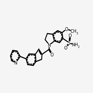 COc1cc2c(cc1S(N)(=O)=O)N(C(=O)C1=Cc3cc(-c4ccccn4)ccc3C1)CC2